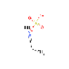 CCC#N.O=S(=O)(O)O.[LiH]